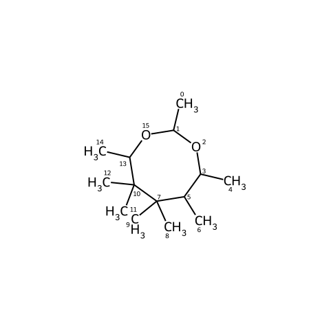 CC1OC(C)C(C)C(C)(C)C(C)(C)C(C)O1